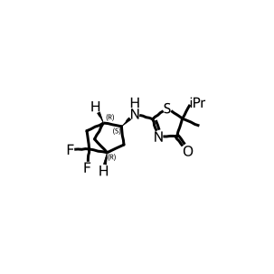 CC(C)C1(C)SC(N[C@H]2C[C@H]3C[C@@H]2CC3(F)F)=NC1=O